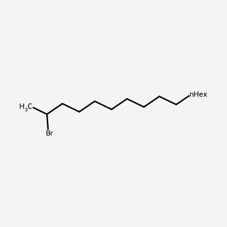 CCCCCCCCCCCCCCC(C)Br